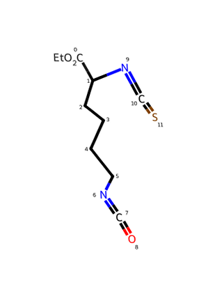 CCOC(=O)C(CCCCN=C=O)N=C=S